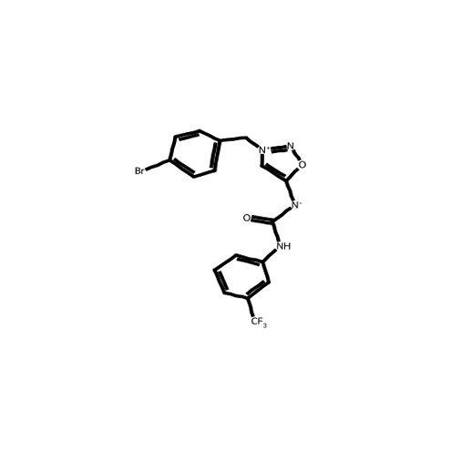 O=C([N-]c1c[n+](Cc2ccc(Br)cc2)no1)Nc1cccc(C(F)(F)F)c1